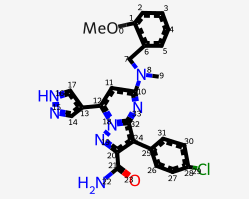 COc1ccccc1CN(C)c1cc(-c2cn[nH]c2)n2nc(C(N)=O)c(-c3ccc(Cl)cc3)c2n1